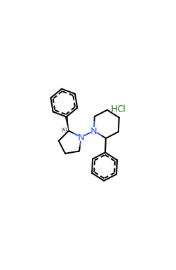 Cl.c1ccc(C2CCCCN2N2CCC[C@H]2c2ccccc2)cc1